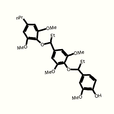 CCCc1cc(OC)c(OC(CC)c2cc(OC)c(OC(CC)c3ccc(O)c(OC)c3)c(OC)c2)c(OC)c1